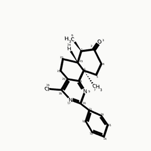 C[C@H]1C(=O)CC[C@@]2(C)c3nc(-c4ccccc4)nc(Cl)c3CC[C@H]12